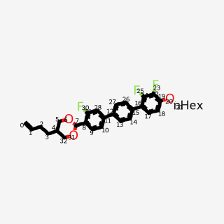 C=CCCC1COC(c2ccc(-c3ccc(-c4ccc(OCCCCCC)c(F)c4F)cc3)cc2F)OC1